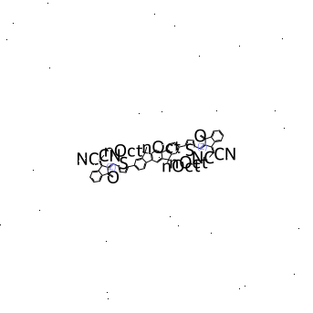 CCCCCCCCC1(CCCCCCCC)c2cc(-c3ccc(/C=C4\C(=O)c5ccccc5C4=C(C#N)C#N)s3)ccc2-c2cc3c(cc21)-c1ccc(-c2ccc(/C=C4\C(=O)c5ccccc5C4=C(C#N)C#N)s2)cc1C3(CCCCCCCC)CCCCCCCC